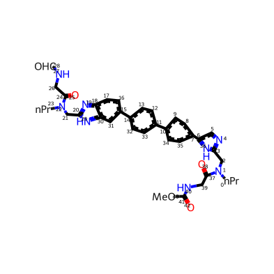 CCCN(Cc1ncc(-c2ccc(-c3ccc(-c4ccc5nc(CN(CCC)C(=O)CNC=O)[nH]c5c4)cc3)cc2)[nH]1)C(=O)CNC(=O)OC